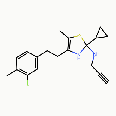 C#CCNC1(C2CC2)NC(CCc2ccc(C)c(F)c2)=C(C)S1